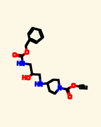 CC(C)(C)OC(=O)N1CCC(NCC(O)CNC(=O)OCc2ccccc2)CC1